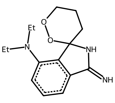 CCN(CC)c1cccc2c1C1(CCCOO1)NC2=N